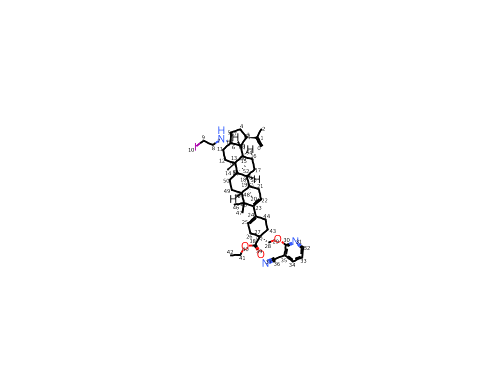 C=C(C)[C@@H]1CC[C@]2(NCCI)CC[C@]3(C)[C@H](CC[C@@H]4[C@@]5(C)CC=C(C6=CC[C@](COc7ncccc7C#N)(C(=O)OCC)CC6)C(C)(C)[C@@H]5CC[C@]43C)[C@@H]12